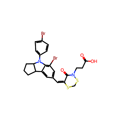 O=C(O)CCN1SCS/C(=C/c2cc(Br)c3c(c2)C2CCCC2N3c2ccc(Br)cc2)C1=O